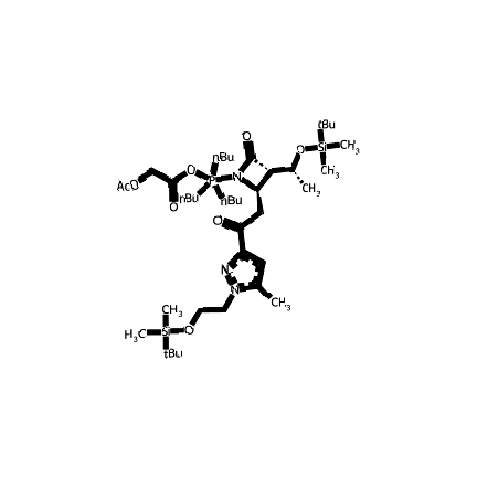 CCCCP(CCCC)(CCCC)(OC(=O)COC(C)=O)N1C(=O)[C@H]([C@@H](C)O[Si](C)(C)C(C)(C)C)[C@H]1CC(=O)c1cc(C)n(CCO[Si](C)(C)C(C)(C)C)n1